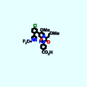 COCCC(C(=O)Nc1ccc(C(=O)O)cc1)n1cc(OC)c(-c2cc(Cl)ccc2-c2cnn(CC(F)(F)F)c2)cc1=O